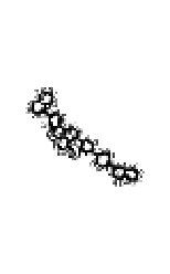 C1=C(c2ccc3c(c2)Oc2ccc4c5c(ccc-3c25)-c2ccc(-c3cccc5ccccc35)cc2O4)CCC(c2ccc3ccccc3c2)=C1